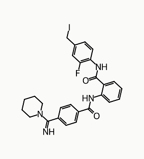 N=C(c1ccc(C(=O)Nc2ccccc2C(=O)Nc2ccc(CI)cc2F)cc1)N1CCCCC1